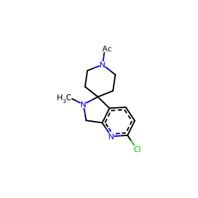 CC(=O)N1CCC2(CC1)c1ccc(Cl)nc1CN2C